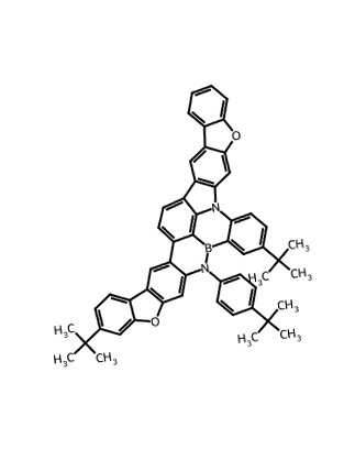 CC(C)(C)c1ccc(N2B3c4cc(C(C)(C)C)ccc4-n4c5cc6oc7ccccc7c6cc5c5ccc(c3c54)-c3cc4c(cc32)oc2cc(C(C)(C)C)ccc24)cc1